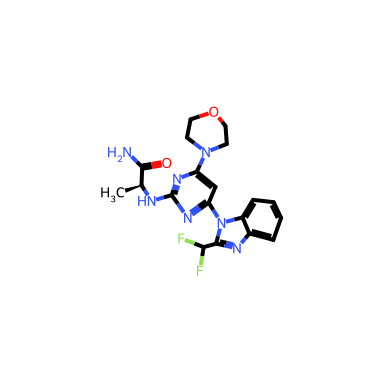 C[C@H](Nc1nc(N2CCOCC2)cc(-n2c(C(F)F)nc3ccccc32)n1)C(N)=O